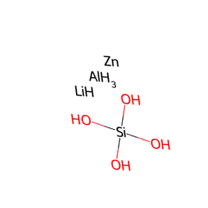 O[Si](O)(O)O.[AlH3].[LiH].[Zn]